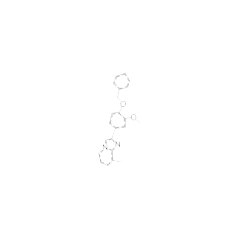 COc1cc(-c2cn3cccc(C)c3n2)ccc1OCc1ccccc1